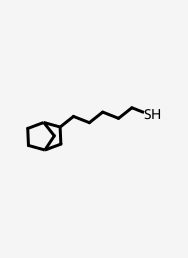 SCCCCCC1CC2CCC1C2